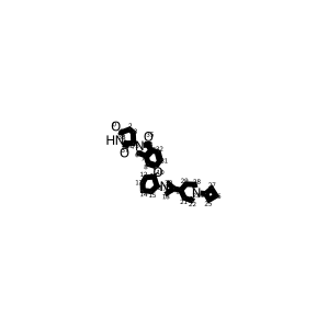 O=C1CCC(N2Cc3cc(O[C@H]4CCCC[C@H]4N4CC(C5CCN(C6CCC6)CC5)C4)ccc3C2=O)C(=O)N1